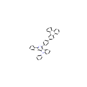 c1ccc(-n2c3ccccc3c3c(-c4ccc(-c5ccc6c7ccccc7c7ccccc7c6c5)cc4)nc4c5ccccc5sc4c32)cc1